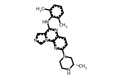 Cc1cccc(C)c1Nc1nc2ccc(N3CCN[C@@H](C)C3)nc2n2cncc12